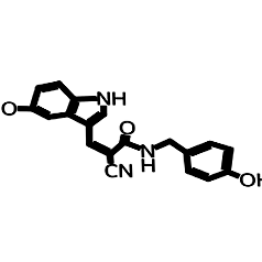 N#CC(=Cc1c[nH]c2ccc(O)cc12)C(=O)NCc1ccc(O)cc1